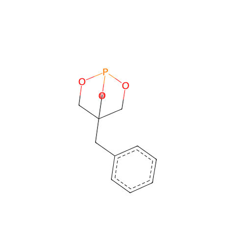 c1ccc(CC23COP(OC2)OC3)cc1